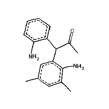 CC(=O)C(c1ccccc1N)c1cc(C)cc(C)c1N